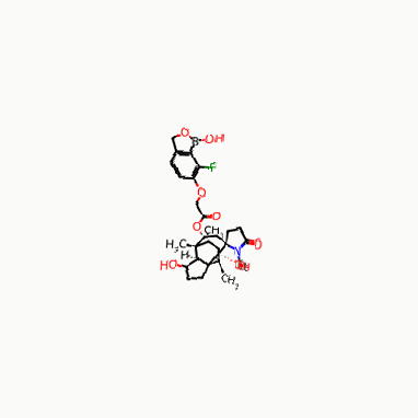 CCN1C(=O)CC[C@@]12C[C@@H](OC(=O)COc1ccc3c(c1F)B(O)OC3)[C@]1(C)[C@H](C)CC[C@]3(CCC(O)[C@H]31)[C@@H](C)[C@@H]2O